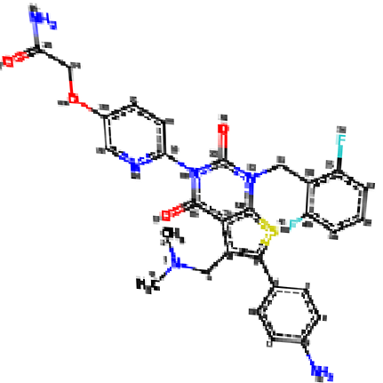 CN(C)Cc1c(-c2ccc(N)cc2)sc2c1c(=O)n(-c1ccc(OCC(N)=O)cn1)c(=O)n2Cc1c(F)cccc1F